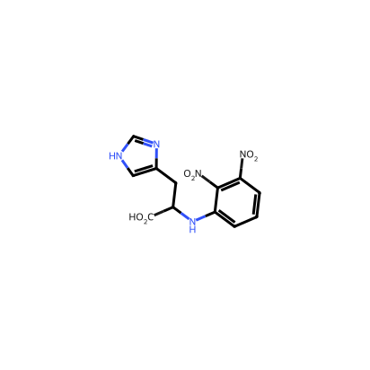 O=C(O)C(Cc1c[nH]cn1)Nc1cccc([N+](=O)[O-])c1[N+](=O)[O-]